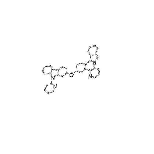 c1ccc(-n2c3ccccc3c3ccc(Oc4ccc5c(c4)c4ncccc4n4cc6ccccc6c54)cc32)nc1